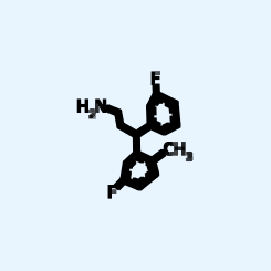 Cc1ccc(F)cc1C(CCN)c1cccc(F)c1